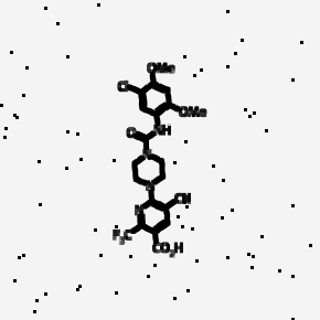 COc1cc(OC)c(NC(=O)N2CCN(c3nc(C(F)(F)F)c(C(=O)O)cc3C#N)CC2)cc1Cl